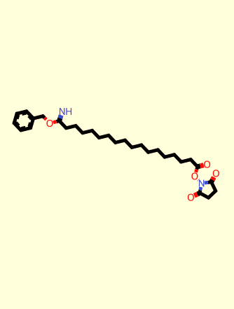 N=C(CCCCCCCCCCCCCCCCC(=O)ON1C(=O)CCC1=O)OCc1ccccc1